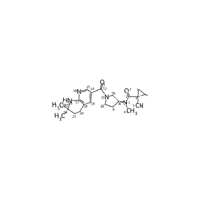 CN(C(=O)C1(C#N)CC1)[C@H]1CCN(C(=O)c2cnc3c(c2)CCC(C)(C)N3)C1